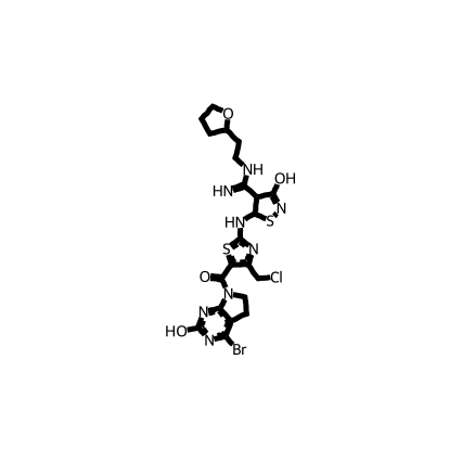 N=C(NCCC1CCCO1)C1C(O)=NSC1Nc1nc(CCl)c(C(=O)N2CCc3c(Br)nc(O)nc32)s1